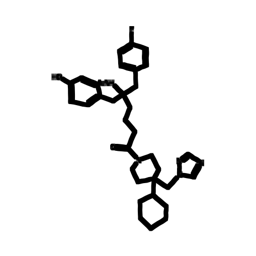 CC(=O)NC(CCCC(=O)N1CCC(Cn2cncn2)(C2CCCCC2)CC1)(Cc1ccc(O)cc1)Cc1ccc(F)cc1